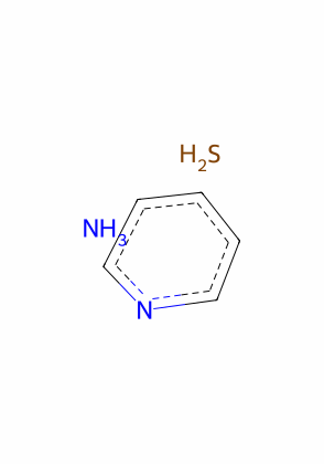 N.S.c1ccncc1